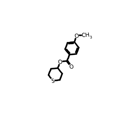 COc1ccc(C(=O)OC2CCSCC2)cc1